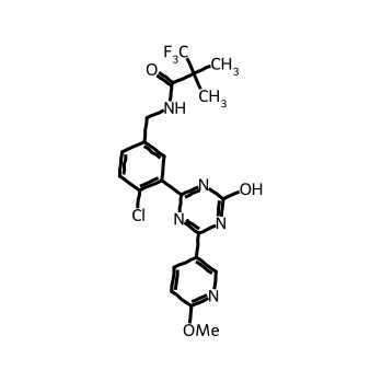 COc1ccc(-c2nc(O)nc(-c3cc(CNC(=O)C(C)(C)C(F)(F)F)ccc3Cl)n2)cn1